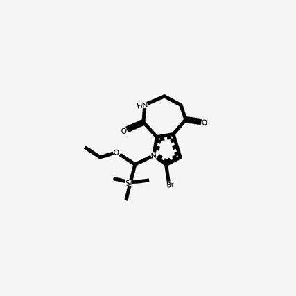 CCOC(n1c(Br)cc2c1C(=O)NCCC2=O)[Si](C)(C)C